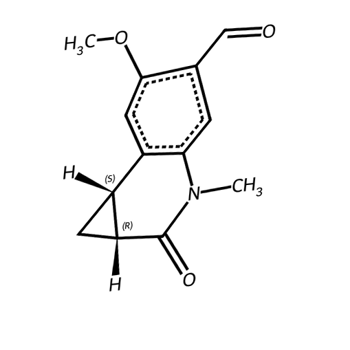 COc1cc2c(cc1C=O)N(C)C(=O)[C@@H]1C[C@H]21